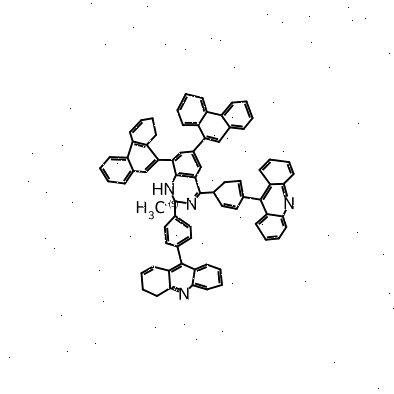 C[C@@]1(c2ccc(-c3c4c(nc5ccccc35)CCC=C4)cc2)N=C(C2C=CC(c3c4ccccc4nc4ccccc34)=CC2)c2cc(-c3cc4ccccc4c4ccccc34)cc(-c3cc4ccccc4c4c3CCC=C4)c2N1